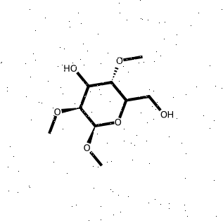 CO[C@@H]1C(CO)O[C@@H](OC)[C@@H](OC)C1O